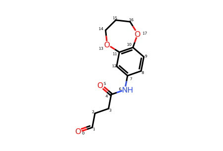 O=CCCC(=O)Nc1ccc2c(c1)OCCCO2